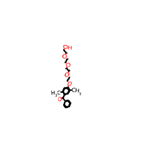 Cc1cc(C(=O)c2ccccc2)c(C)cc1OCCOCCOCCOCCO